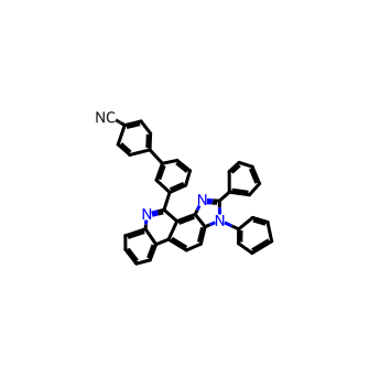 N#Cc1ccc(-c2cccc(-c3nc4ccccc4c4ccc5c(nc(-c6ccccc6)n5-c5ccccc5)c34)c2)cc1